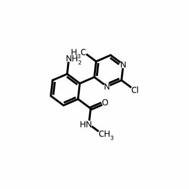 CNC(=O)c1cccc(N)c1-c1nc(Cl)ncc1C